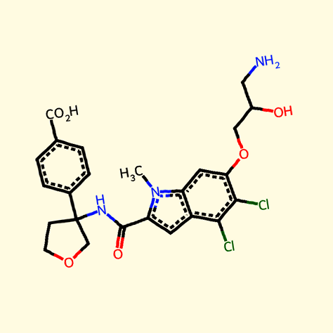 Cn1c(C(=O)NC2(c3ccc(C(=O)O)cc3)CCOC2)cc2c(Cl)c(Cl)c(OCC(O)CN)cc21